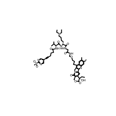 CCN(CC)CCCC[C@H](NC(=O)[C@@H](NC(=O)CCCC#Cc1cnc(S(C)(=O)=O)nc1)C(C)C)C(=O)NCC(=O)NCOCCCc1c2c(nc3cc(F)c(C)cc13)-c1cc3c(c(=O)n1C2)COC(=O)[C@]3(O)CC